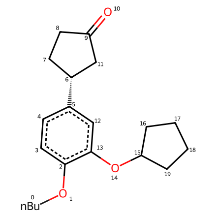 CCCCOc1ccc([C@@H]2CCC(=O)C2)cc1OC1CCCC1